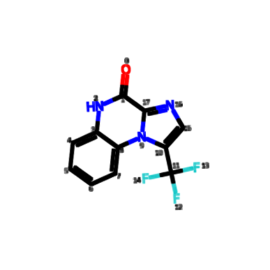 O=c1[nH]c2ccccc2n2c(C(F)(F)F)cnc12